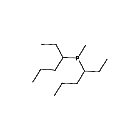 CCCC(CC)P(C)C(CC)CCC